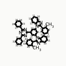 Cc1ccccc1-c1nc2ccccc2n1-c1cc(-c2nc(-c3ccccc3)nc(-c3ccccc3)n2)cc(-n2c(-c3ccccc3C)nc3ccccc32)c1